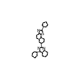 c1ccc(-c2nc3ccc4cc(-c5nc(-c6ccccc6)c6ccccc6n5)ccc4c3s2)cc1